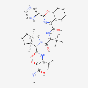 CC(C)[C@H](NC(=O)C1[C@H]2CCC[C@H]2CN1C(=O)C(NC(=O)[C@@H](NC(=O)c1cnccn1)C1CCCCC1)C(C)(C)C)C(=O)C(=O)NI